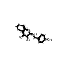 O=c1c(Cl)c(NCc2ccc(O)cc2)oc2ccccc12